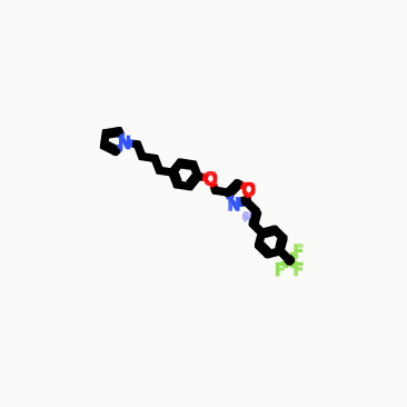 FC(F)(F)c1ccc(/C=C/c2nc(COc3ccc(CCCCn4cccc4)cc3)co2)cc1